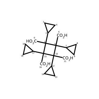 O=C(O)C1(C2CC2)C(C(=O)O)(C2CC2)C(C(=O)O)(C2CC2)C1(C(=O)O)C1CC1